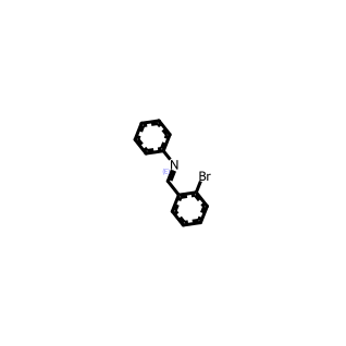 Brc1ccccc1/C=N/c1ccccc1